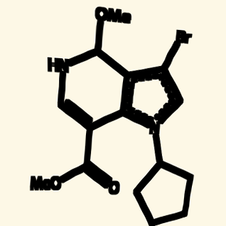 COC(=O)C1=CNC(OC)c2c(Br)cn(C3CCCC3)c21